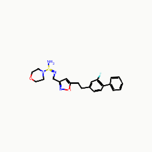 NS(=NCc1cc(CCc2ccc(-c3ccccc3)c(F)c2)on1)N1CCOCC1